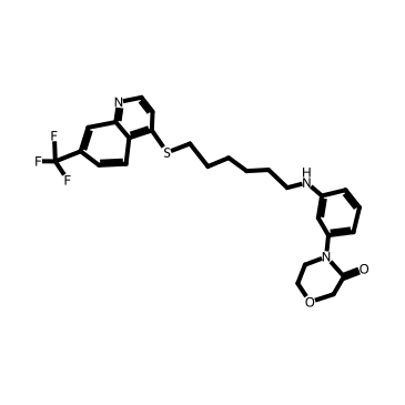 O=C1COCCN1c1cccc(NCCCCCCSc2ccnc3cc(C(F)(F)F)ccc23)c1